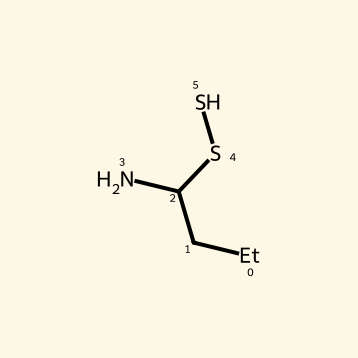 CCCC(N)SS